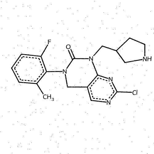 Cc1cccc(F)c1N1Cc2cnc(Cl)nc2N(CC2CCNC2)C1=O